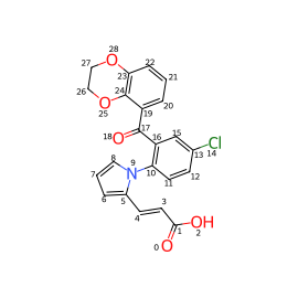 O=C(O)C=Cc1cccn1-c1ccc(Cl)cc1C(=O)c1cccc2c1OCCO2